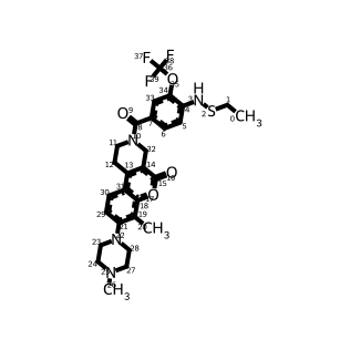 CCSNc1ccc(C(=O)N2CCc3c(c(=O)oc4c(C)c(N5CCN(C)CC5)ccc34)C2)cc1OC(F)(F)F